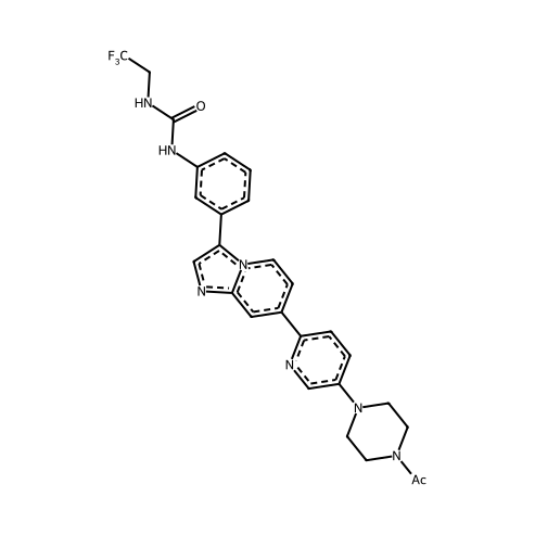 CC(=O)N1CCN(c2ccc(-c3ccn4c(-c5cccc(NC(=O)NCC(F)(F)F)c5)cnc4c3)nc2)CC1